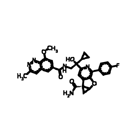 COc1cc(C(=O)NCC(O)(c2cc3c(c(-c4ccc(F)cc4)n2)OC2C[C@@]32C(N)=O)C2CC2)cc2cc(C)nnc12